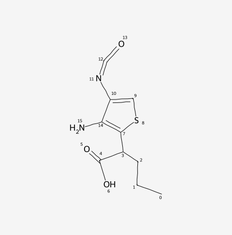 CCCC(C(=O)O)c1scc(N=C=O)c1N